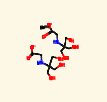 O=C([O-])CNC(CO)(CO)CO.O=C([O-])CNC(CO)(CO)CO.[Sn+2]